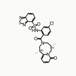 C[C@H]1CN(C(=O)c2ccc(Cl)cc2NS(=O)(=O)c2cccc3nsnc23)C[C@@H](C)c2cccc(=O)n2C1